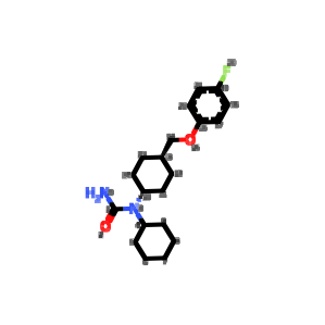 NC(=O)N(C1CCCCC1)[C@H]1CC[C@H](COc2ccc(F)cc2)CC1